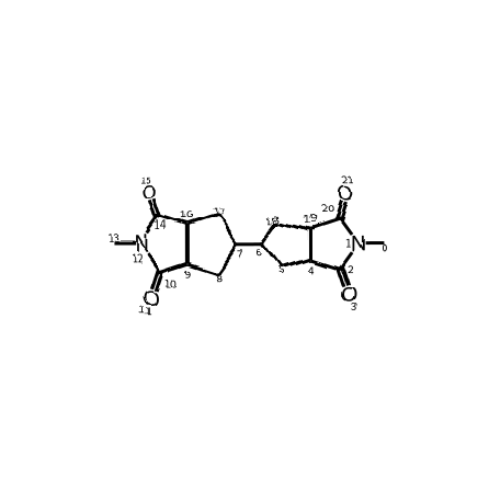 CN1C(=O)C2CC(C3CC4C(=O)N(C)C(=O)C4C3)CC2C1=O